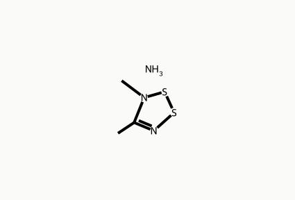 CC1=NSSN1C.N